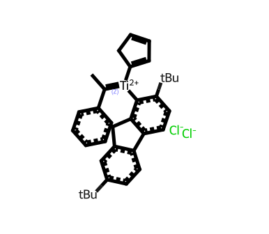 C/[C](c1ccccc1)=[Ti+2](\[C]1=CC=CC1)[c]1c(C(C)(C)C)ccc2c1Cc1cc(C(C)(C)C)ccc1-2.[Cl-].[Cl-]